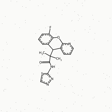 CC(C)(C(=O)Nc1nncs1)C1c2cccnc2Oc2c(F)cccc21